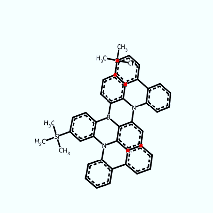 C[Si](C)(C)c1ccc2c(c1)N(c1ccccc1-c1ccccn1)c1cccc3c1B2c1ccc([Si](C)(C)C)cc1N3c1ccccc1-c1ccccn1